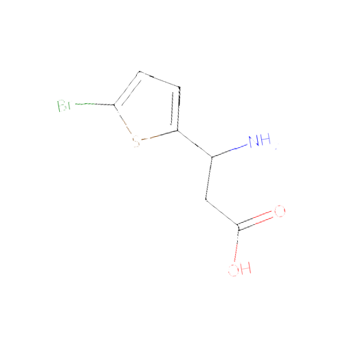 NC(CC(=O)O)c1ccc(Br)s1